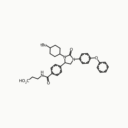 CC(C)(C)C1CCC(N2C(=O)N(c3ccc(Oc4ccccc4)cc3)CC2c2ccc(C(=O)NCCC(=O)O)cc2)CC1